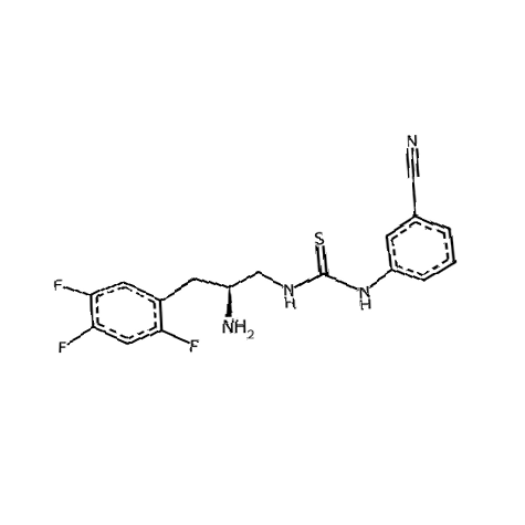 N#Cc1cccc(NC(=S)NC[C@@H](N)Cc2cc(F)c(F)cc2F)c1